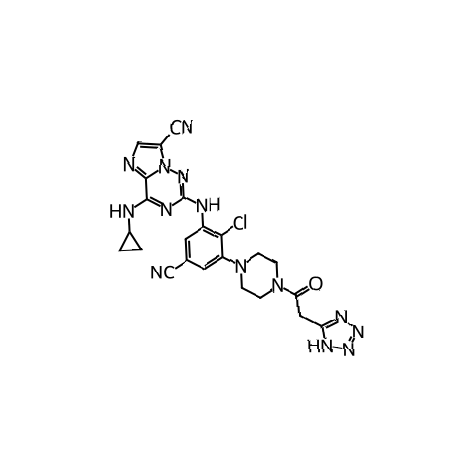 N#Cc1cc(Nc2nc(NC3CC3)c3ncc(C#N)n3n2)c(Cl)c(N2CCN(C(=O)Cc3nnn[nH]3)CC2)c1